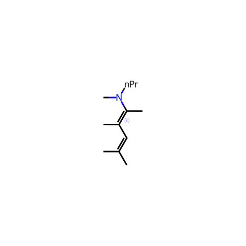 CCCN(C)/C(C)=C(\C)C=C(C)C